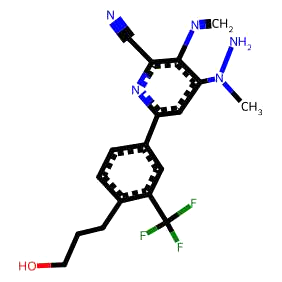 C=Nc1c(N(C)N)cc(-c2ccc(CCCO)c(C(F)(F)F)c2)nc1C#N